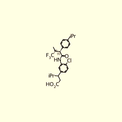 CC(C)c1ccc([C@@H](C(=O)Nc2cc(C(CC(=O)O)C(C)C)ccc2Cl)[C@@H](C)C(F)(F)F)cc1